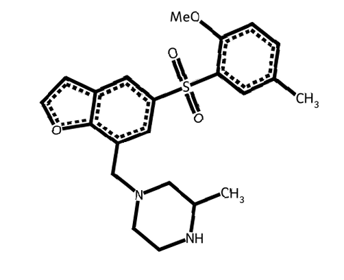 COc1ccc(C)cc1S(=O)(=O)c1cc(CN2CCNC(C)C2)c2occc2c1